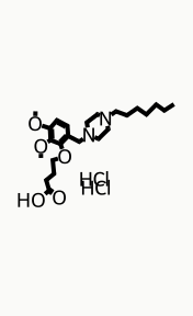 CCCCCCCN1CCN(Cc2ccc(OC)c(OC)c2OCCCC(=O)O)CC1.Cl.Cl